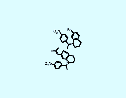 CC(C)=Cc1ccc2c(c1)N(C(C)c1ccc([N+](=O)[O-])cc1)CCC2.CC(c1ccc([N+](=O)[O-])cc1)N1CCCc2ccc(Br)cc21